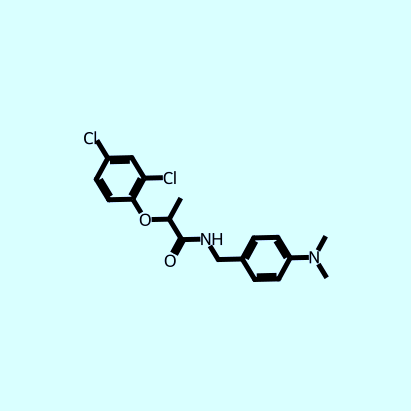 CC(Oc1ccc(Cl)cc1Cl)C(=O)NCc1ccc(N(C)C)cc1